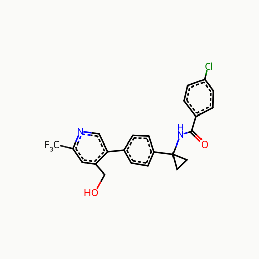 O=C(NC1(c2ccc(-c3cnc(C(F)(F)F)cc3CO)cc2)CC1)c1ccc(Cl)cc1